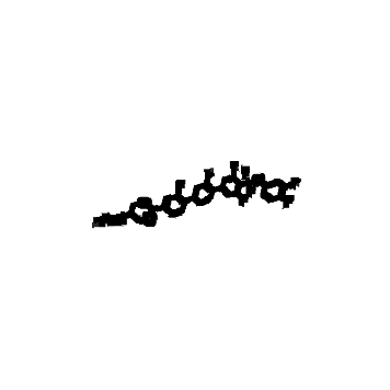 CCCCCC1COC(c2ccc(-c3ccc(-c4cc(F)c(C(F)(F)Oc5ccc(F)c(F)c5)c(F)c4)c(F)c3)c(F)c2)OC1